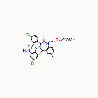 COCCOCCN1C(=O)C(c2ccc(Cl)cc2)N(C(C)c2ccc(Cl)cc2N)C(=O)c2cc(I)ccc21